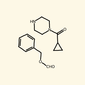 O=C(C1CC1)N1CCNCC1.O=COCc1ccccc1